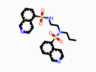 CCCN(CCNS(=O)(=O)c1cccc2cnccc12)S(=O)(=O)c1cccc2cnccc12